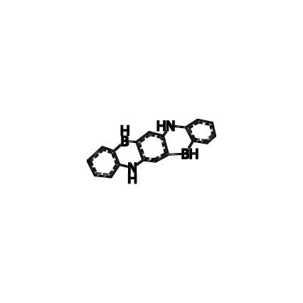 B1c2ccccc2Nc2cc3c(cc21)Nc1ccccc1B3